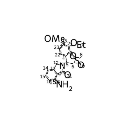 CCOc1cc([C@@H](CS(C)(=O)=O)N2Cc3cccc([15NH2])c3C2=O)ccc1OC